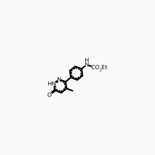 CCOC(=O)Nc1ccc(-c2n[nH]c(=O)cc2C)cc1